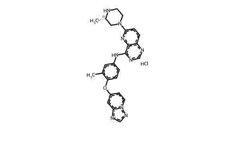 Cc1cc(Nc2ncnc3ccc(N4CCN[C@@H](C)C4)nc23)ccc1Oc1ccn2ncnc2c1.Cl